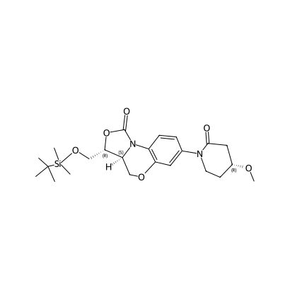 CO[C@@H]1CCN(c2ccc3c(c2)OC[C@H]2[C@H](CO[Si](C)(C)C(C)(C)C)OC(=O)N32)C(=O)C1